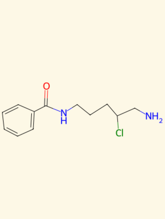 NCC(Cl)CCCNC(=O)c1ccccc1